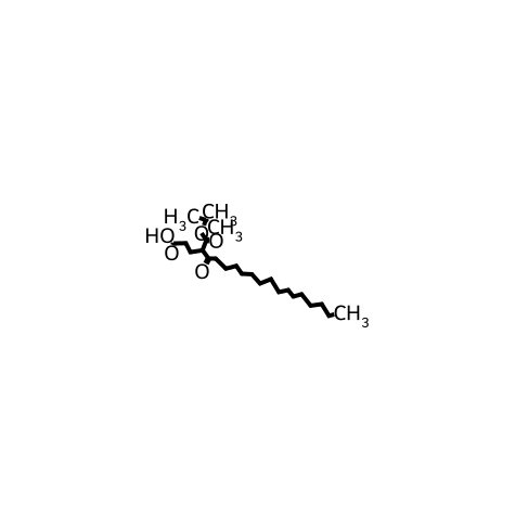 CCCCCCCCCCCCCCCC(=O)C(CCC(=O)O)C(=O)OC(C)(C)C